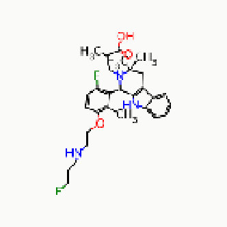 Cc1c(OCCNCCCF)ccc(F)c1[C@@H]1c2[nH]c3ccccc3c2CC(C)(C)N1CC(C)C(=O)O